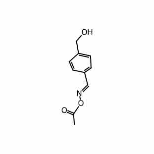 CC(=O)O/N=C/c1ccc(CO)cc1